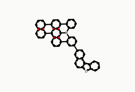 c1ccc(-c2ccc(-c3ccccc3N(c3ccc(-c4ccccc4)cc3)c3ccc(-c4ccc5c(ccc6oc7ccccc7c65)c4)cc3-c3ccccc3)cc2)cc1